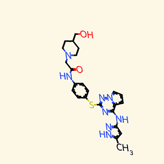 Cc1cc(Nc2nc(Sc3ccc(NC(=O)CN4CCC(CO)CC4)cc3)nn3cccc23)n[nH]1